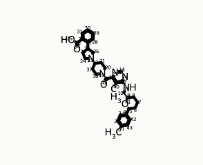 Cc1ccc(C2CCC[C@H](CNc3ncnc(C(=O)N4CCC(N5CCC(c6ccccc6C(=O)O)C5)CC4)c3C)O2)cc1